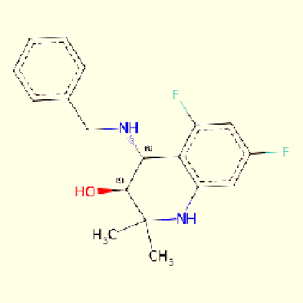 CC1(C)Nc2cc(F)cc(F)c2[C@@H](NCc2ccccc2)[C@@H]1O